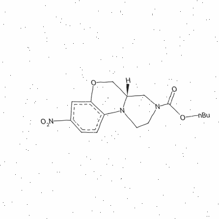 CCCCOC(=O)N1CCN2c3ccc([N+](=O)[O-])cc3OC[C@@H]2C1